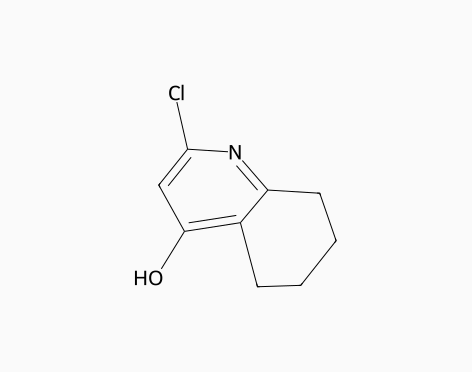 Oc1cc(Cl)nc2c1CCCC2